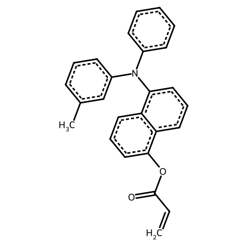 C=CC(=O)Oc1cccc2c(N(c3ccccc3)c3cccc(C)c3)cccc12